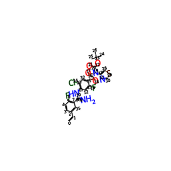 C=Cc1ccc(F)c([C@H](N)Nc2cc(F)c(S(=O)(=O)N(C(=O)OC(C)(C)C)c3cscn3)cc2Cl)c1